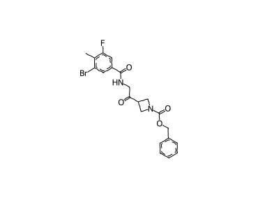 Cc1c(F)cc(C(=O)NCC(=O)C2CN(C(=O)OCc3ccccc3)C2)cc1Br